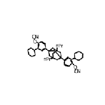 CCCC12CC3(CCC)CC(c4ccc(OC#N)c(C5CCCCC5)c4)(C1)CC(c1ccc(OC#N)c(C4CCCCC4)c1)(C2)C3